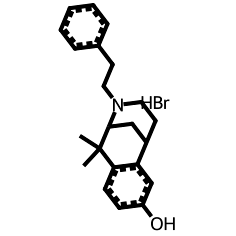 Br.CC1(C)c2ccc(O)cc2C2CCN(CCc3ccccc3)C1C2